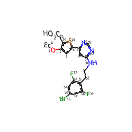 CCOc1cc(-c2cc(NCCc3c(F)cc(Br)cc3F)ncn2)sc1C(=O)O